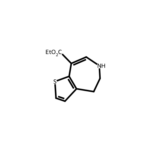 CCOC(=O)C1=CNCCc2ccsc21